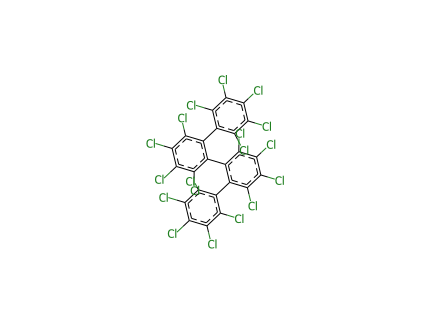 Clc1c(Cl)c(Cl)c(-c2c(Cl)c(Cl)c(Cl)c(Cl)c2-c2c(Cl)c(Cl)c(Cl)c(Cl)c2-c2c(Cl)c(Cl)c(Cl)c(Cl)c2Cl)c(Cl)c1Cl